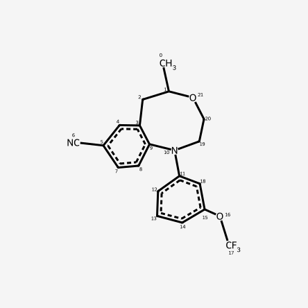 CC1Cc2cc(C#N)ccc2N(c2cccc(OC(F)(F)F)c2)CCO1